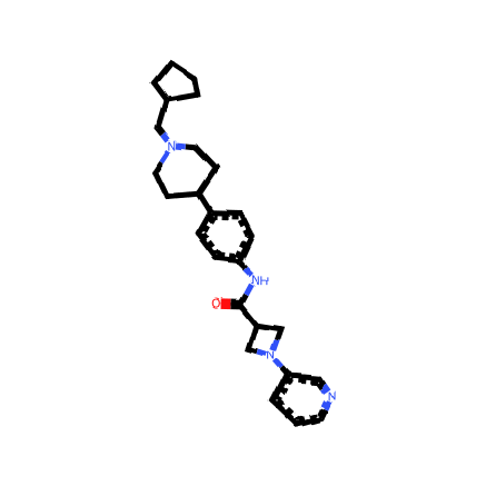 O=C(Nc1ccc(C2CCN(CC3CCCC3)CC2)cc1)C1CN(c2cccnc2)C1